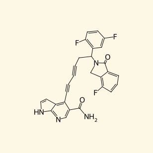 NC(=O)c1cnc2[nH]ccc2c1C#CC#CCC(c1cc(F)ccc1F)N1Cc2c(F)cccc2C1=O